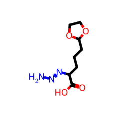 NN=NC(CCCC1OCCO1)C(=O)O